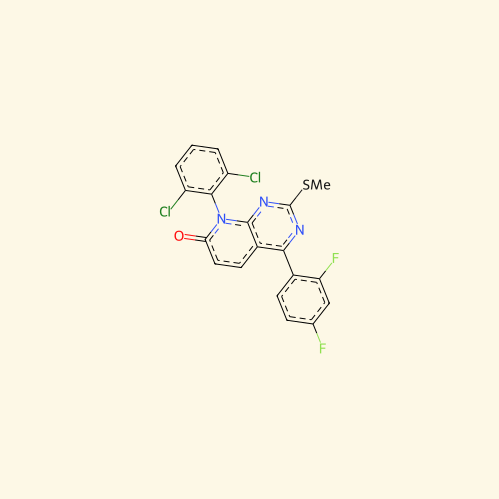 CSc1nc(-c2ccc(F)cc2F)c2ccc(=O)n(-c3c(Cl)cccc3Cl)c2n1